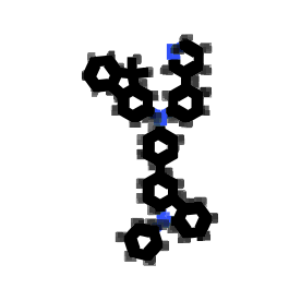 CC1(C)c2ccccc2-c2ccc(N(c3ccc(C4=CC5c6ccccc6N(c6ccccc6)C5C=C4)cc3)c3cccc(-c4cccnc4)c3)cc21